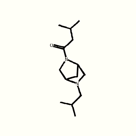 CC(C)CC(=O)N1CC2CC1CN2CC(C)C